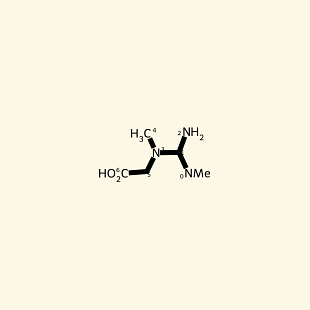 CNC(N)N(C)CC(=O)O